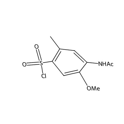 COc1cc(S(=O)(=O)Cl)c(C)cc1NC(C)=O